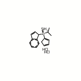 C[CH](C)[Zr](=[SiH2])([C]1=CC=CC1)[CH]1C=Cc2ccccc21.Cl.Cl